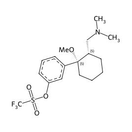 CO[C@@]1(c2cccc(OS(=O)(=O)C(F)(F)F)c2)CCCC[C@H]1CN(C)C